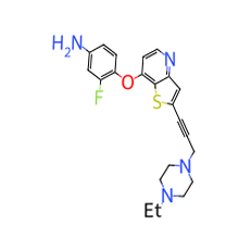 CCN1CCN(CC#Cc2cc3nccc(Oc4ccc(N)cc4F)c3s2)CC1